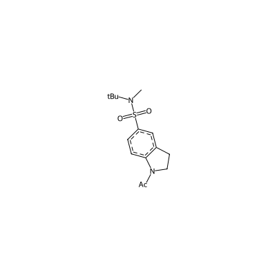 CC(=O)N1CCc2cc(S(=O)(=O)N(C)C(C)(C)C)ccc21